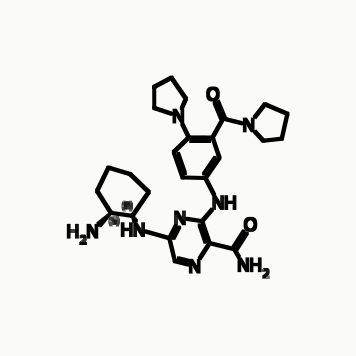 NC(=O)c1ncc(N[C@@H]2CCCC[C@@H]2N)nc1Nc1ccc(N2CCCC2)c(C(=O)N2CCCC2)c1